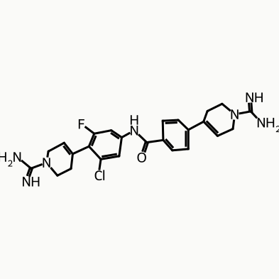 N=C(N)N1CC=C(c2ccc(C(=O)Nc3cc(F)c(C4=CCN(C(=N)N)CC4)c(Cl)c3)cc2)CC1